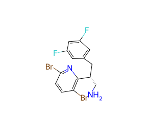 NC[C@@H](Cc1cc(F)cc(F)c1)c1nc(Br)ccc1Br